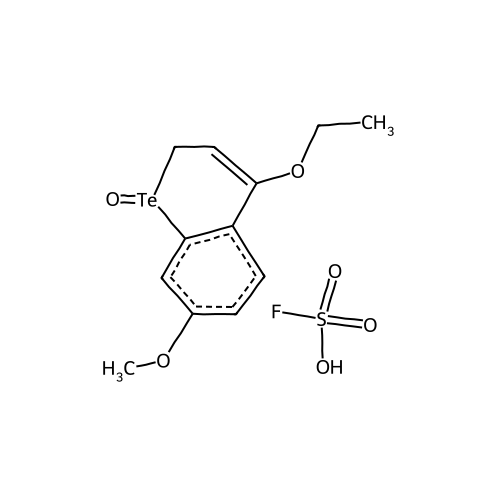 CCOC1=CC[Te](=O)c2cc(OC)ccc21.O=S(=O)(O)F